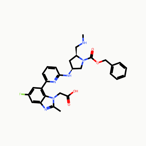 CNC[C@@H]1C[C@H](Nc2cccc(-c3cc(F)cc4nc(C)n(CC(=O)O)c34)n2)CN1C(=O)OCc1ccccc1